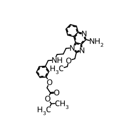 CCOCc1nc2c(N)nc3ccccc3c2n1CCCNCc1cccc(OCC(=O)OC(C)C)c1